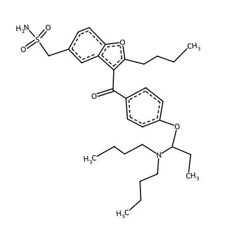 CCCCc1oc2ccc(CS(N)(=O)=O)cc2c1C(=O)c1ccc(OC(CC)N(CCCC)CCCC)cc1